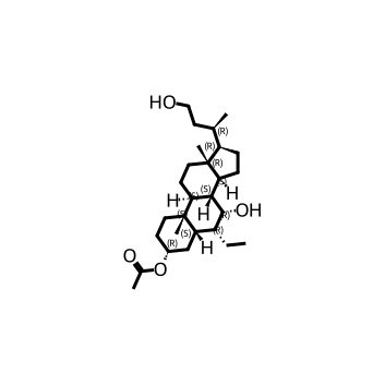 CC[C@H]1[C@@H](O)[C@@H]2[C@H](CC[C@]3(C)[C@@H]([C@H](C)CCO)CC[C@@H]23)[C@@]2(C)CC[C@@H](OC(C)=O)C[C@@H]12